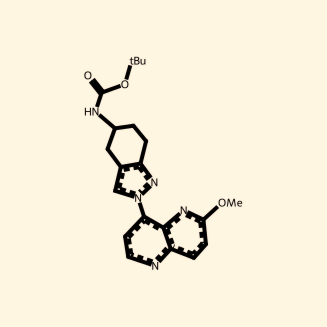 COc1ccc2nccc(-n3cc4c(n3)CCC(NC(=O)OC(C)(C)C)C4)c2n1